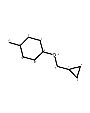 CC1CCC(OCC2CC2)CC1